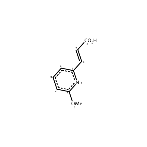 COc1cccc(/C=C/C(=O)O)n1